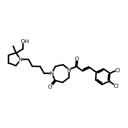 CC1(CO)CCCN1CCCCN1CCN(C(=O)/C=C/c2ccc(Cl)c(Cl)c2)CCC1=O